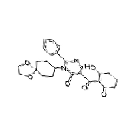 O=C1CCCC(O)=C1C(=O)c1cnc(-c2ccccc2)n(C2CCC3(CC2)OCCO3)c1=O